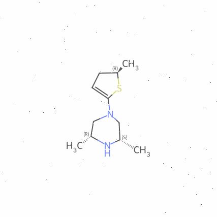 C[C@@H]1CN(C2=CC[C@@H](C)S2)C[C@H](C)N1